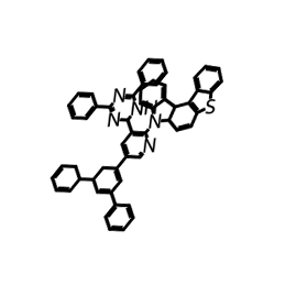 C1=CCC(C2C=C(c3ccccc3)C=C(c3cnc(N4C5=CCCC=C5C5c6c(sc7ccccc67)C=CC54)c(C4N=C(c5ccccc5)N=C(c5ccccc5)N4)c3)C2)C=C1